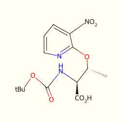 C[C@@H](Oc1ncccc1[N+](=O)[O-])[C@H](NC(=O)OC(C)(C)C)C(=O)O